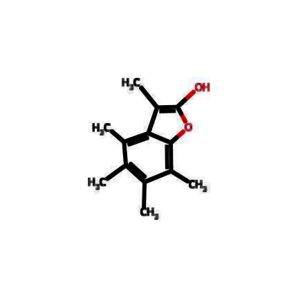 Cc1c(C)c(C)c2c(C)c(O)oc2c1C